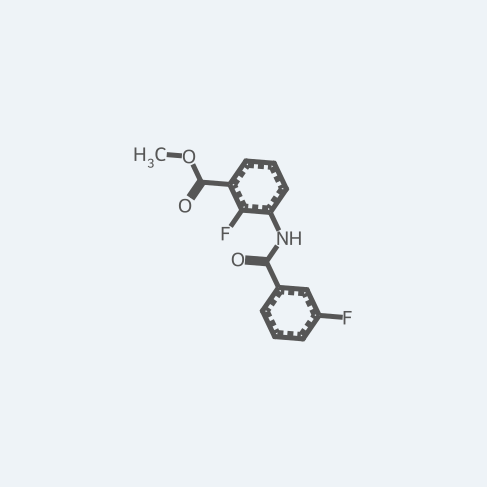 COC(=O)c1cccc(NC(=O)c2cccc(F)c2)c1F